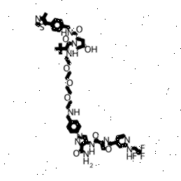 Cc1ncsc1-c1ccc(CNC(=O)[C@@H]2C[C@@H](O)CN2C(=O)[C@@H](NCCOCCOCCOCCNCc2ccc(-n3cc(NC(=O)c4coc(-c5ccnc(NCC(F)(F)F)c5)n4)c(C(N)=O)n3)cc2)C(C)(C)C)cc1